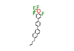 C=CCCc1ccc2cc(-c3ccc(-c4cc(F)c(OC(F)(F)F)c(F)c4)cc3)ccc2c1